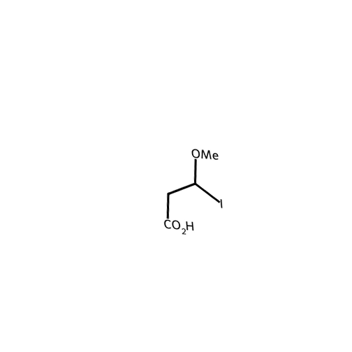 COC(I)CC(=O)O